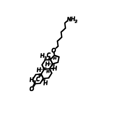 C[C@]12CCC(=O)C[C@@H]1CC[C@@H]1[C@@H]2CC[C@]2(C)[C@@H](OCCCCCCN)CC[C@@H]12